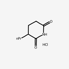 CCCC1CCC(=O)NC1=O.Cl